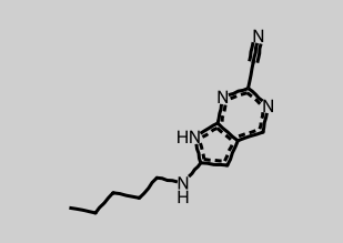 CCCCCNc1cc2cnc(C#N)nc2[nH]1